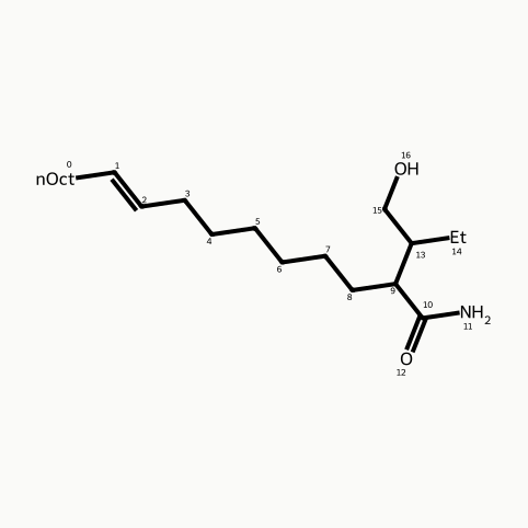 CCCCCCCCC=CCCCCCCC(C(N)=O)C(CC)CO